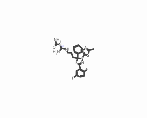 Cc1nnc(N2N=C(c3cc(F)ccc3F)SC2(CCCN/C(N)=N/C(N)=O)c2ccccc2)s1